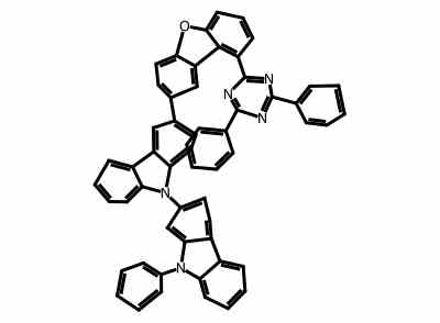 c1ccc(-c2nc(-c3ccccc3)nc(-c3cccc4oc5ccc(-c6ccc7c(c6)c6ccccc6n7-c6ccc7c8ccccc8n(-c8ccccc8)c7c6)cc5c34)n2)cc1